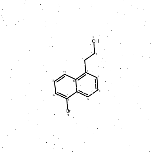 OCCc1cccc2c(Br)cccc12